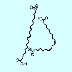 O=C(O)CCCCCCC/C=C\C/C=C\CCCCC[N+](=O)[O-].O=C(O)CCCCCCCC=CCC=CCCCCC[N+](=O)[O-]